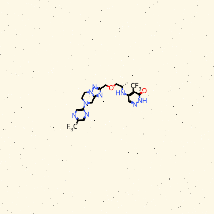 C[C@@H](COCc1nc2n(n1)CCN(c1cnc(C(F)(F)F)cn1)C2)Nc1cn[nH]c(=O)c1C(F)(F)F